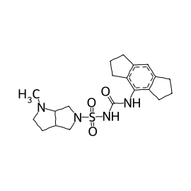 CN1CCC2CN(S(=O)(=O)NC(=O)Nc3c4c(cc5c3CCC5)CCC4)CC21